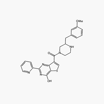 COc1cccc(CC2CN(C(=O)c3csc4c(O)nc(-c5ccccn5)nc34)CCN2)c1